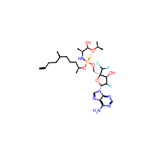 C=CCCC(C)CCCC(C)OP(=S)(N[C@@H](C)C(O)OC(C)C)OC[C@@]1(C(F)F)O[C@@H](n2cnc3c(N)ncnc32)[C@H](F)[C@@H]1O